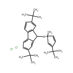 C[C]1([Zr+2][CH]2c3cc(C(C)(C)C)ccc3-c3ccc(C(C)(C)C)cc32)C=CC(C(C)(C)C)=C1.[Cl-].[Cl-]